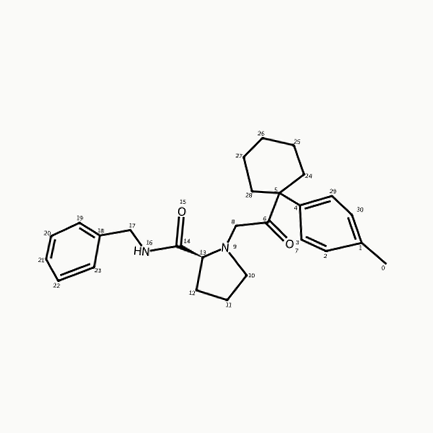 Cc1ccc(C2(C(=O)CN3CCC[C@H]3C(=O)NCc3ccccc3)CCCCC2)cc1